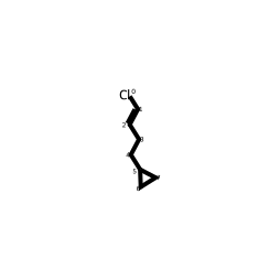 ClC=CCCC1CC1